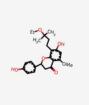 CCOC(C)(C)CCc1c(O)cc(OC)c2c1OC(c1ccc(O)cc1)CC2=O